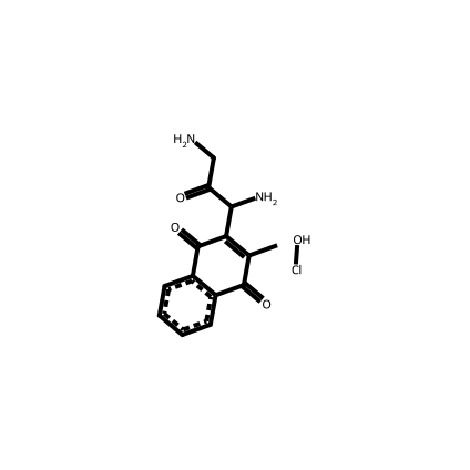 CC1=C(C(N)C(=O)CN)C(=O)c2ccccc2C1=O.OCl